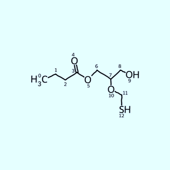 CCCC(=O)OCC(CO)OCS